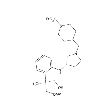 CCOC(=O)N1CCC(CN2CC[C@H](Nc3ccccc3[C@@](C)(CO)COC)C2)CC1